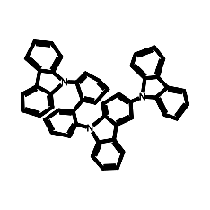 c1ccc(-n2c3ccccc3c3ccccc32)c(-c2ccccc2-n2c3ccccc3c3cc(-n4c5ccccc5c5ccccc54)ccc32)c1